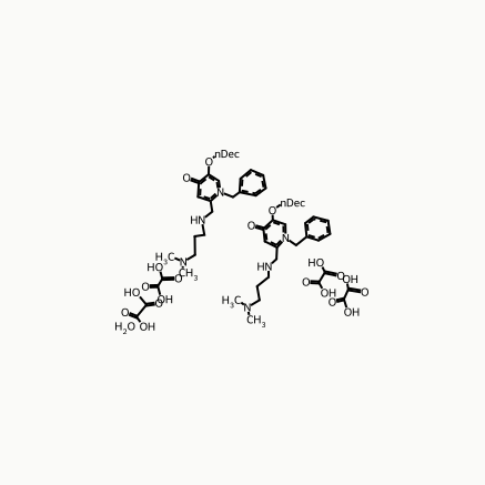 CCCCCCCCCCOc1cn(Cc2ccccc2)c(CNCCCN(C)C)cc1=O.CCCCCCCCCCOc1cn(Cc2ccccc2)c(CNCCCN(C)C)cc1=O.O.O=C(O)C(=O)O.O=C(O)C(=O)O.O=C(O)C(=O)O.O=C(O)C(=O)O